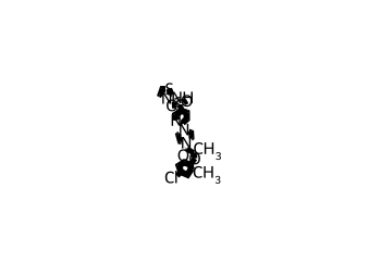 Cc1cc(Cl)ccc1OC(C)C(=O)N1CCN(c2ccc(S(=O)(=O)Nc3nccs3)cn2)CC1